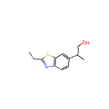 CCc1nc2ccc(C(C)CO)cc2s1